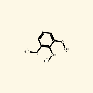 CCc1cccc(OO)c1OO